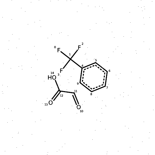 FC(F)(F)c1ccccc1.O=CC(=O)O